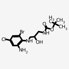 CC(C)(C)OC(=O)NCC(O)CNc1c(N)cc(Cl)cc1Br